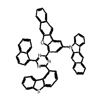 c1ccc2cc3c(cc2c1)oc1c(-c2nc(-c4cccc5ccccc45)nc(-c4cccc5sc6ccccc6c45)n2)cc(-n2c4ccccc4c4cc5ccccc5cc42)cc13